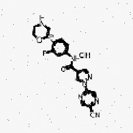 Cl.N#Cc1cnc(-n2cc(C(=O)Nc3ccc([C@H]4CNCCO4)c(F)c3)cn2)cn1